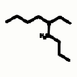 CCCCN(CC)[SiH2]CCC